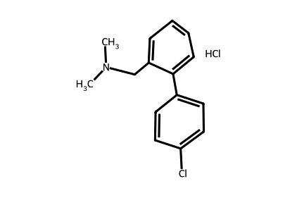 CN(C)Cc1ccccc1-c1ccc(Cl)cc1.Cl